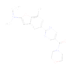 CN(C(=O)O)c1cc2cc(-c3ncc(C(=O)N4CCOCC4)cn3)cc(C(F)(F)F)c2o1